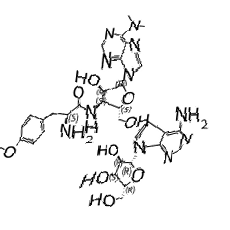 COc1ccc(C[C@H](N)C(=O)N[C@H]2[C@@H](O)[C@H](n3cnc4c(N(C)C)ncnc43)O[C@@H]2CO)cc1.Nc1ncnc2c1ccn2[C@@H]1O[C@H](CO)[C@@H](O)[C@H]1O